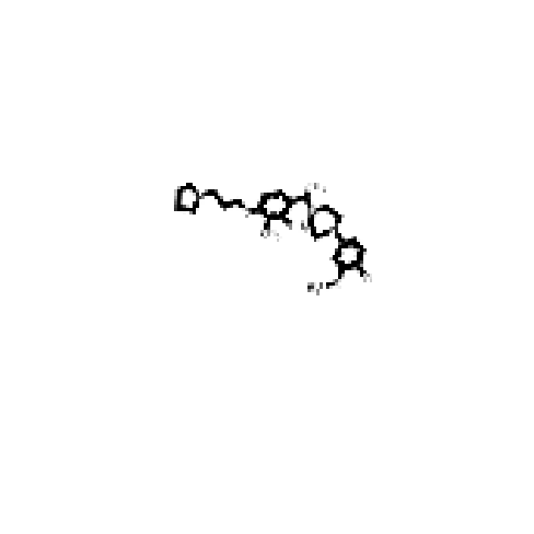 COc1cc(N2CCN(C(C)c3ccc(OCCCN4CCCC4)c(C)c3C)CC2)ccc1Cl